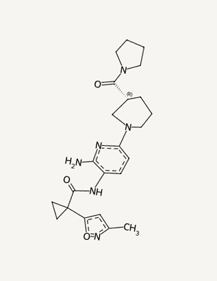 Cc1cc(C2(C(=O)Nc3ccc(N4CCC[C@@H](C(=O)N5CCCC5)C4)nc3N)CC2)on1